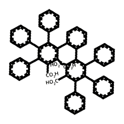 O=C(O)c1c(C(=O)O)c(-c2ccccc2-c2c(C(=O)O)c(C(=O)O)c(-c3ccccc3)c(-c3ccccc3)c2-c2ccccc2)c(-c2ccccc2)c(-c2ccccc2)c1-c1ccccc1